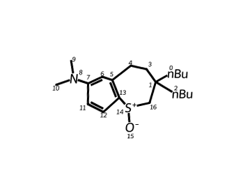 CCCCC1(CCCC)CCc2cc(N(C)C)ccc2[S+]([O-])C1